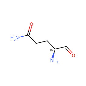 NC(=O)CC[C@H](N)C=O